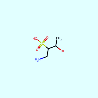 CC(O)C(CN)S(=O)(=O)O